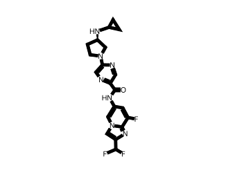 O=C(Nc1cc(F)c2nc(C(F)F)cn2c1)c1cnc(N2CC[C@@H](NC3CC3)C2)cn1